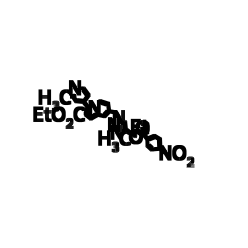 CCOC(=O)c1cc2cc(Cn3cc(C(C)(CC)OC(=O)c4ccc([N+](=O)[O-])cc4)nn3)ccn2c1-c1ccnc(C)c1